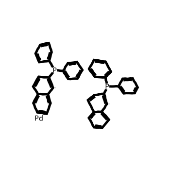 [Pd].[c]1c(P(c2ccccc2)c2ccccc2)ccc2ccccc12.[c]1c(P(c2ccccc2)c2ccccc2)ccc2ccccc12